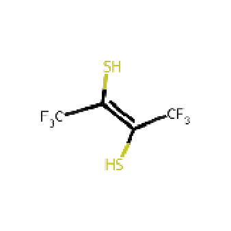 FC(F)(F)C(S)=C(S)C(F)(F)F